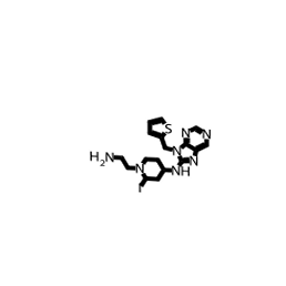 NCCN1CCC(Nc2nc3cncnc3n2Cc2cccs2)CC1I